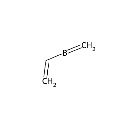 C=BC=C